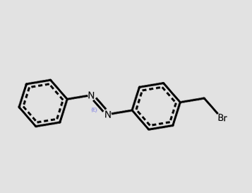 BrCc1ccc(/N=N/c2ccccc2)cc1